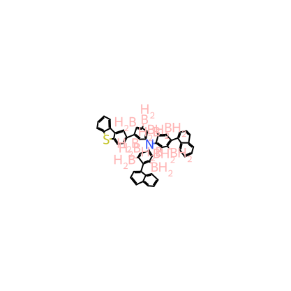 Bc1c(B)c(-c2ccc3sc4ccccc4c3c2)c(B)c(N(c2c(B)c(B)c(-c3cccc4ccccc34)c(B)c2B)c2c(B)c(B)c(-c3cccc4ccccc34)c(B)c2B)c1B